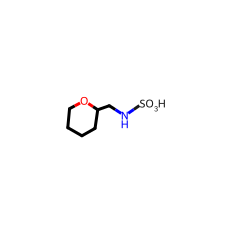 O=S(=O)(O)NCC1CCCCO1